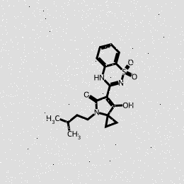 CC(C)CCN1C(=O)C(C2=NS(=O)(=O)c3ccccc3N2)=C(O)C12CC2